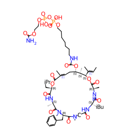 C/C=C(\C)[C@H]1OC(=O)[C@@H](C)NC(=O)[C@H](C(C)CC)NC(=O)CN(C)C(=O)[C@@H](Cc2ccccc2)N(C)C(=O)[C@H](C)NC(=O)[C@@H](CC(C)C)OC(=O)/C(C)=C/C[C@H](OC(=O)NCCCCCCCOP(=O)(O)OP(=O)(O)OCCOC(N)=O)[C@@H]1C